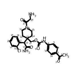 CC(=O)c1ccc(NC(=O)OCC2(C(C(N)=O)c3ccccc3Cl)CCN(C(=O)CN)CC2)cc1